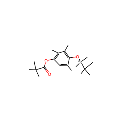 Cc1cc(OC(=O)C(C)(C)C)c(C)c(C)c1O[Si](C)(C)C(C)(C)C